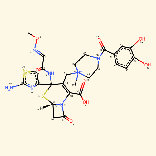 CON=CC(=O)NC1(c2csc(N)n2)S[C@H]2CC(=O)N2C(C(=O)O)=C1C[N+]1(C)CCN(C(=O)c2ccc(O)c(O)c2)CC1